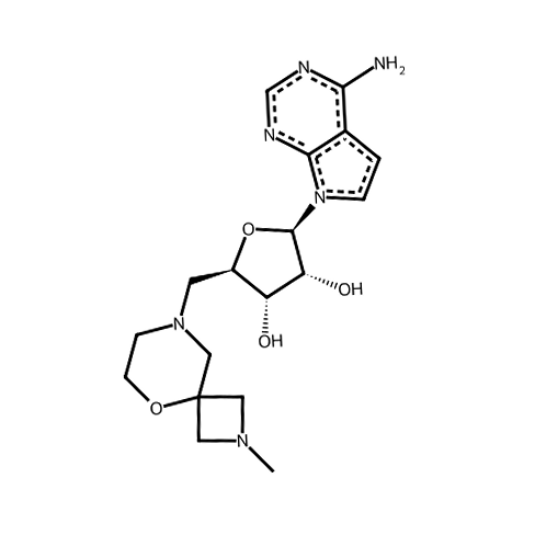 CN1CC2(C1)CN(C[C@H]1O[C@@H](n3ccc4c(N)ncnc43)[C@H](O)[C@@H]1O)CCO2